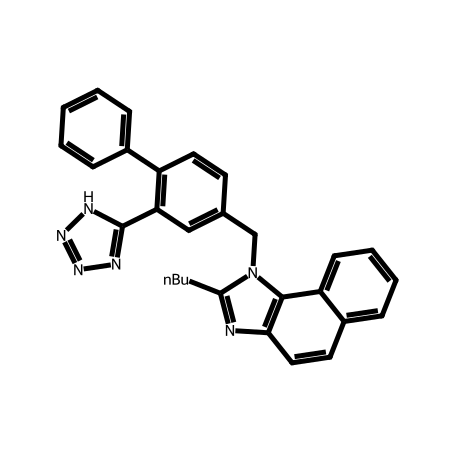 CCCCc1nc2ccc3ccccc3c2n1Cc1ccc(-c2ccccc2)c(-c2nnn[nH]2)c1